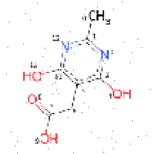 Cc1nc(O)c(CC(=O)O)c(O)n1